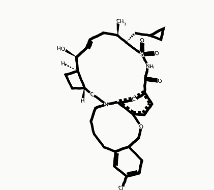 C[C@@H]1C/C=C/[C@H](O)[C@@H]2CC[C@H]2CN2CCCCC3=CC(Cl)=CCC3COc3ccc(cc32)C(=O)NS(=O)(=O)[C@H]1CC1CC1